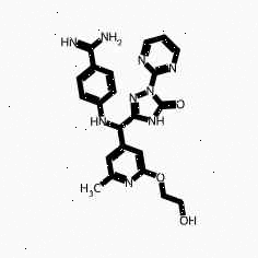 Cc1cc(C(Nc2ccc(C(=N)N)cc2)c2nn(-c3ncccn3)c(=O)[nH]2)cc(OCCO)n1